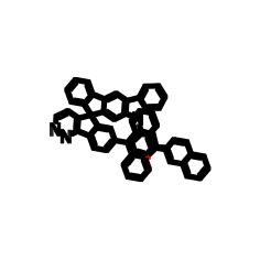 Cc1cc(C)cc(-n2c3ccccc3c3cc4c(cc32)C2(c3ccccc3-4)c3cc(-c4c5ccccc5c(-c5ccc6ccccc6c5)c5ccccc45)ccc3-c3nnccc32)c1